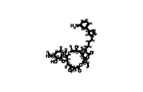 CC[C@H]1OC(=O)[C@@](C)(F)C(=O)[C@H](C)[C@@H](O[C@@H]2O[C@H](C)C[C@H](NC)[C@H]2O)[C@@](C)(OC)C[C@@H](C)C(=O)[C@H](C)[C@H]2N(CCCCn3cc(-c4cccc(N)c4)nn3)C(=O)O[C@]12C